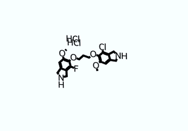 COc1cc2c(c(F)c1OCCCOc1c(OC)cc3c(c1Cl)CNC3)CNC2.Cl.Cl